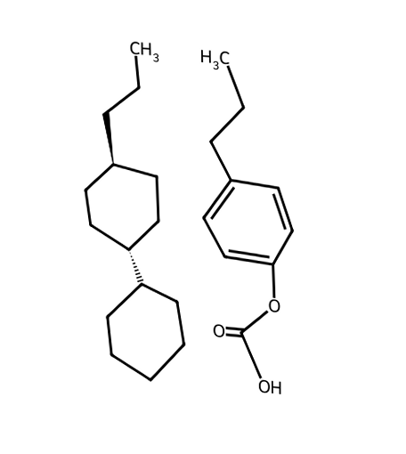 CCC[C@H]1CC[C@H](C2CCCCC2)CC1.CCCc1ccc(OC(=O)O)cc1